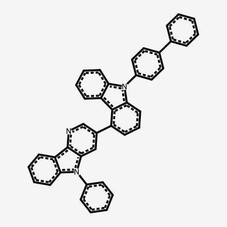 c1ccc(-c2ccc(-n3c4ccccc4c4c(-c5cnc6c7ccccc7n(-c7ccccc7)c6c5)cccc43)cc2)cc1